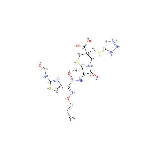 CCCON=C(C(=O)NC1C(=O)N2CC(CSc3cnn[nH]3)(C(=O)O)CS[C@H]12)c1csc(NC=O)n1